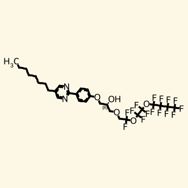 CCCCCCCCc1cnc(-c2ccc(OC[C@H](O)COCC(F)(F)OC(F)(F)C(F)(F)OC(F)(F)C(F)(F)C(F)(F)C(F)(F)F)cc2)nc1